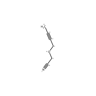 CC#CCOCC#N